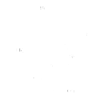 Cl.OC1CCCCC1N1CNc2c(Br)cc(Br)cc2C1